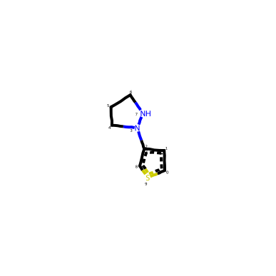 c1cc(N2CCCN2)cs1